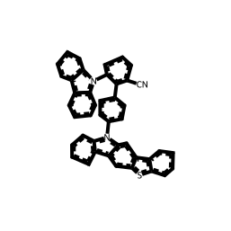 N#Cc1cccc(-n2c3ccccc3c3ccccc32)c1-c1ccc(-n2c3ccccc3c3cc4sc5ccccc5c4cc32)cc1